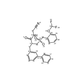 N#CCNC(=O)C(Cc1cccc(-c2ccccc2)c1)CS(=O)(=O)Cc1ccccc1OC(F)F